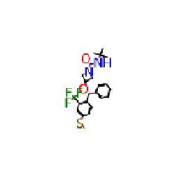 CSc1ccc(C(OC2CN(C(=O)NC(C)(C)C)C2)c2ccccc2)c(C(F)(F)F)c1